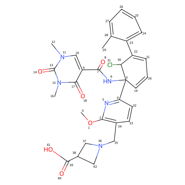 COc1nc(C2(NC(=O)c3cn(C)c(=O)n(C)c3=O)C=CC=C(c3ccccc3C)C2Cl)ccc1CN1CC(C(=O)O)C1